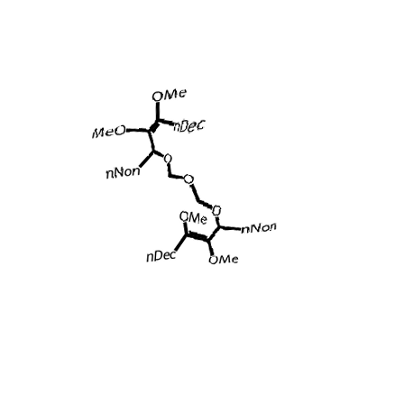 CCCCCCCCCCC(OC)=C(OC)C(CCCCCCCCC)OCOCOC(CCCCCCCCC)C(OC)=C(CCCCCCCCCC)OC